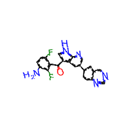 Nc1ccc(F)c(C(=O)c2c[nH]c3ncc(-c4ccc5ncncc5c4)cc23)c1F